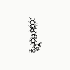 Cc1ccc(C(F)(F)F)c(CN2CC3CC(Oc4cccc([C@@H](CC(=O)O)C5CC5)c4)CC3C2)c1